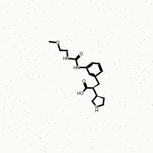 COCCNC(=O)Nc1cccc(C[C@H](C(=O)O)[C@H]2CCNC2)c1